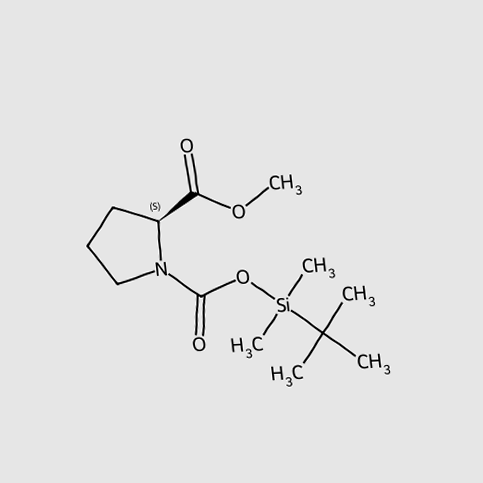 COC(=O)[C@@H]1CCCN1C(=O)O[Si](C)(C)C(C)(C)C